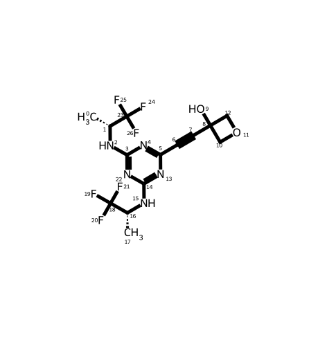 C[C@@H](Nc1nc(C#CC2(O)COC2)nc(N[C@H](C)C(F)(F)F)n1)C(F)(F)F